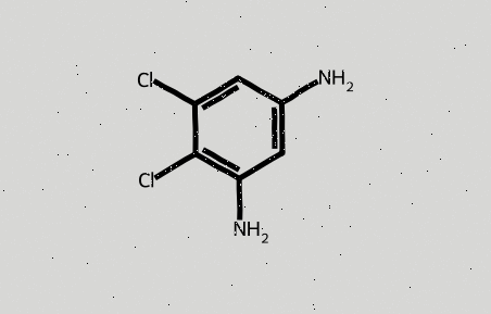 Nc1cc(N)c(Cl)c(Cl)c1